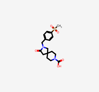 CS(=O)(=O)c1ccc(CN2CC3(CCN(C(=O)O)CC3)CC2=O)cc1